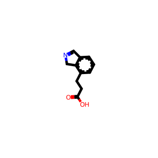 O=C(O)CCc1cccc2c1CN=C2